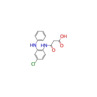 O=C(O)CC(=O)Nc1ccc(Cl)cc1Nc1ccccc1